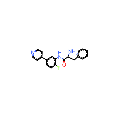 NC(Cc1ccccc1)C(=O)Nc1cc(-c2ccncc2)ccc1F